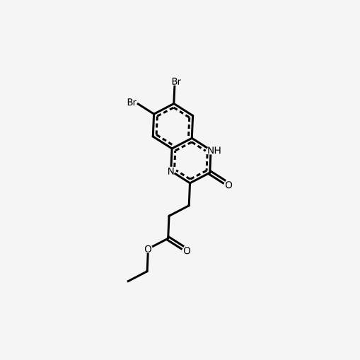 CCOC(=O)CCc1nc2cc(Br)c(Br)cc2[nH]c1=O